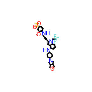 COc1cc(S(C)(=O)=O)ccc1NCC#Cc1cc2c(N[C@H]3CC[C@@H](N4CC5COCC5C4)CC3)cccc2n1CC(F)(F)F